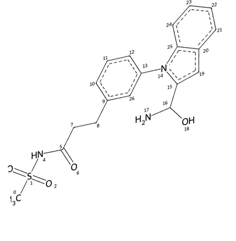 CS(=O)(=O)NC(=O)CCc1cccc(-n2c(C(N)O)cc3ccccc32)c1